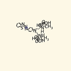 CC(NC(=O)CCN(CCC(=O)NC(C)P(=O)(O)O)c1ccc(/N=N/c2nc3ccccc3s2)cc1)P(=O)(O)O